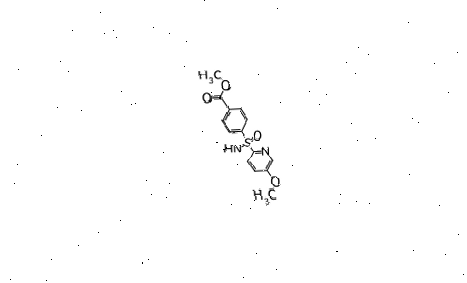 COC(=O)c1ccc(S(=N)(=O)c2ccc(OC)cn2)cc1